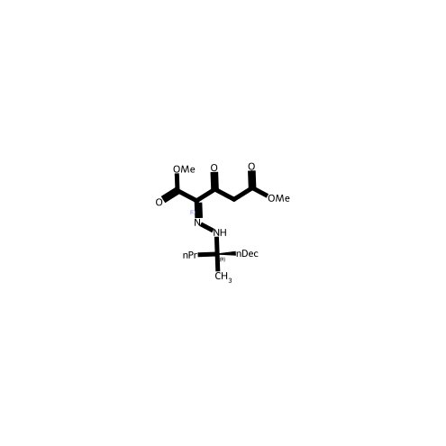 CCCCCCCCCC[C@@](C)(CCC)N/N=C(\C(=O)CC(=O)OC)C(=O)OC